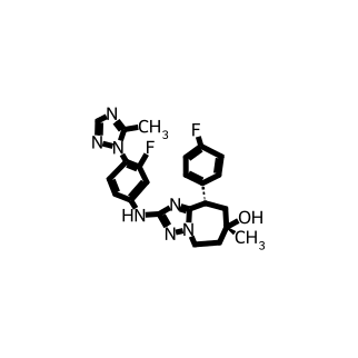 Cc1ncnn1-c1ccc(Nc2nc3n(n2)CC[C@@](C)(O)C[C@H]3c2ccc(F)cc2)cc1F